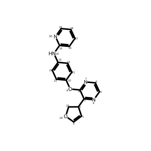 C1=CC(c2nccnc2Oc2ccc(Nc3ccccn3)cc2)CO1